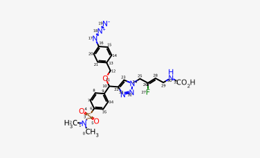 CN(C)S(=O)(=O)c1ccc(C(OCc2ccc(N=[N+]=[N-])cc2)c2cn(CC(F)=CCNC(=O)O)nn2)cc1